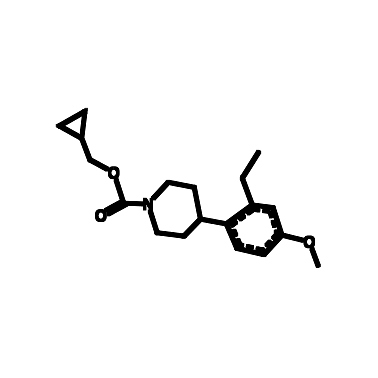 CCc1cc(OC)ccc1C1CCN(C(=O)OCC2CC2)CC1